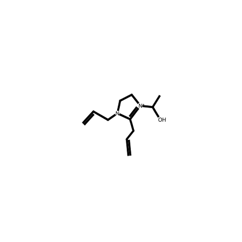 C=CCC1=[N+](C(C)O)CCN1CC=C